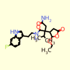 CCOC1OC(=O)CC1C(CC(N)=O)(C(=O)NCCc1c[nH]c2cc(F)ccc12)C(C)C